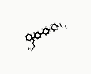 CCCCC1(c2ccc(-c3ccc([C@@H]4CO[C@@H](CC)CO4)cc3)cc2)CCCCC1